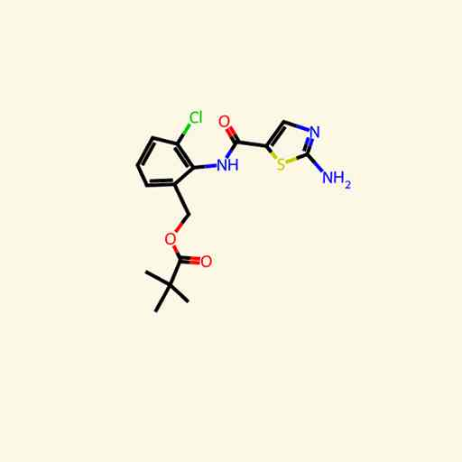 CC(C)(C)C(=O)OCc1cccc(Cl)c1NC(=O)c1cnc(N)s1